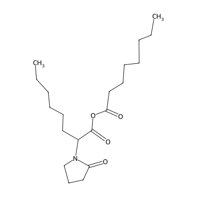 CCCCCCCC(=O)OC(=O)C(CCCCCC)N1CCCC1=O